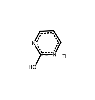 Oc1ncccn1.[Ti]